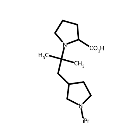 CC(C)N1CCC(CC(C)(C)N2CCCC2C(=O)O)C1